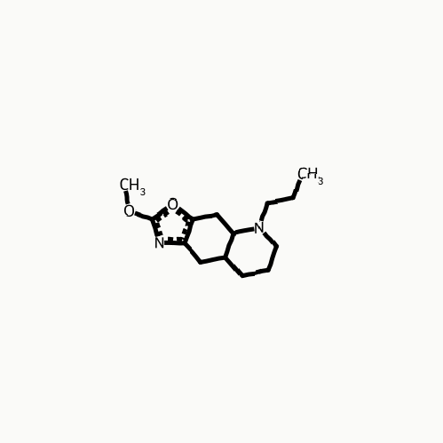 CCCN1CCCC2Cc3nc(OC)oc3CC21